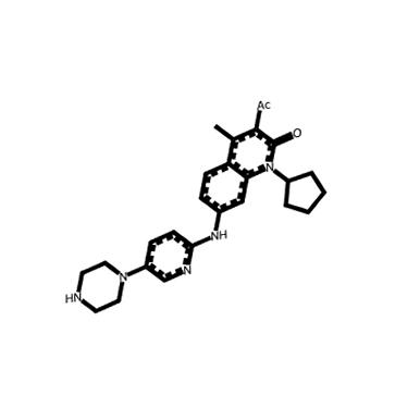 CC(=O)c1c(C)c2ccc(Nc3ccc(N4CCNCC4)cn3)cc2n(C2CCCC2)c1=O